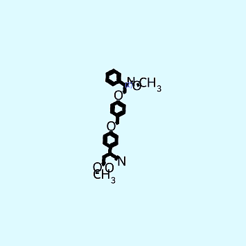 CO/N=C(\COc1ccc(COc2ccc(C(C#N)CC(=O)OC)cc2)cc1)c1ccccc1